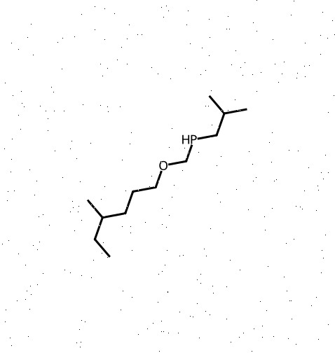 CCC(C)CCCOCPCC(C)C